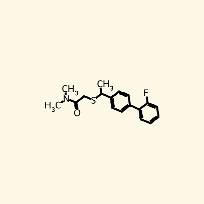 CC(SCC(=O)N(C)C)c1ccc(-c2ccccc2F)cc1